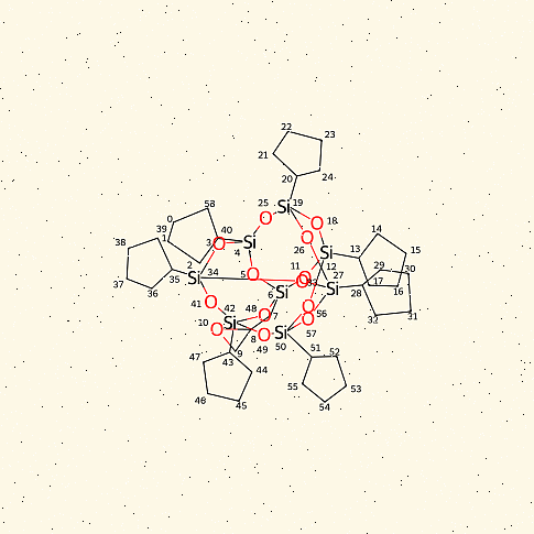 C1CCC([Si]23O[Si]4(CC5CO5)O[Si]5(C6CCCC6)O[Si](C6CCCC6)(O2)O[Si]2(C6CCCC6)O[Si](C6CCCC6)(O3)O[Si](C3CCCC3)(O4)O[Si](C3CCCC3)(O5)O2)C1